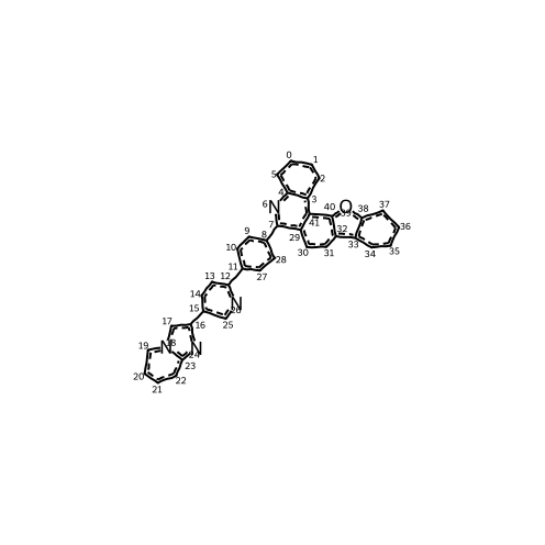 c1ccc2c(c1)nc(-c1ccc(-c3ccc(-c4cn5ccccc5n4)cn3)cc1)c1ccc3c4ccccc4oc3c12